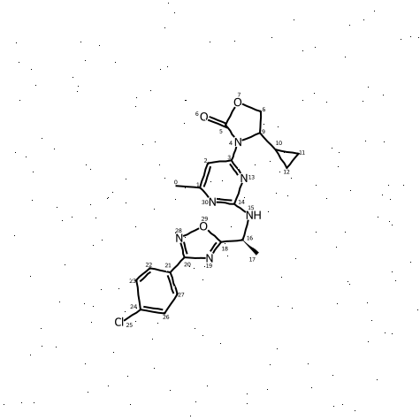 Cc1cc(N2C(=O)OCC2C2CC2)nc(N[C@@H](C)c2nc(-c3ccc(Cl)cc3)no2)n1